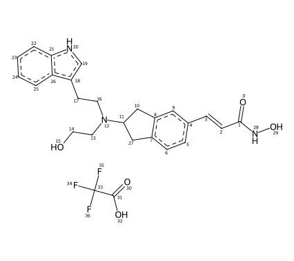 O=C(C=Cc1ccc2c(c1)CC(N(CCO)CCc1c[nH]c3ccccc13)C2)NO.O=C(O)C(F)(F)F